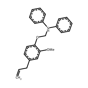 C=CCc1ccc(OC[SiH](c2ccccc2)c2ccccc2)c(OC)c1